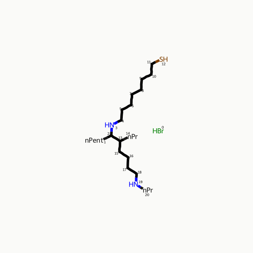 Br.CCCCCC(NCCCCCCCCS)C(CCC)CCCCNCCC